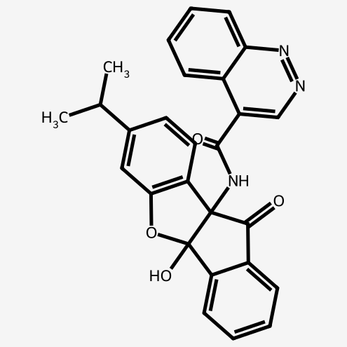 CC(C)c1ccc2c(c1)OC1(O)c3ccccc3C(=O)C21NC(=O)c1cnnc2ccccc12